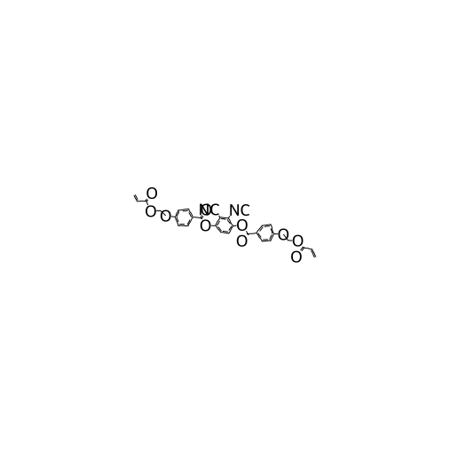 [C-]#[N+]c1c(OC(=O)c2ccc(OCOC(=O)C=C)cc2)ccc(OC(=O)c2ccc(OCOC(=O)C=C)cc2)c1C#N